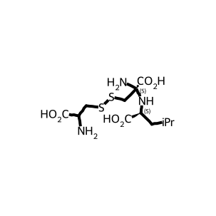 CC(C)C[C@H](N[C@](N)(CSSCC(N)C(=O)O)C(=O)O)C(=O)O